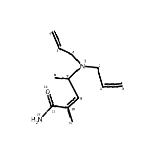 C=CCN(CC=C)C(C)C=C(C)C(N)=O